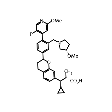 COc1cc(-c2ccc(C3CCc4ccc([C@H](C5CC5)[C@H](C)C(=O)O)cc4O3)cc2CN2CC[C@H](OC)C2)c(F)cn1